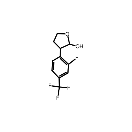 OC1OCCC1c1ccc(C(F)(F)F)cc1F